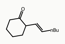 CCCCC=CC1CCCCC1=O